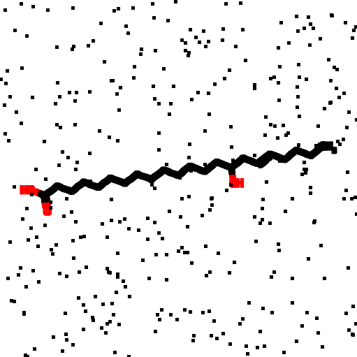 CCCCC=CCC(O)CCCCCCCCCCCCCC(=O)O